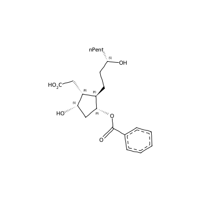 CCCCC[C@H](O)CC[C@@H]1[C@@H](CC(=O)O)[C@@H](O)C[C@H]1OC(=O)c1ccccc1